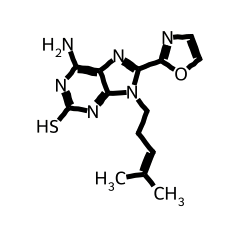 CC(C)=CCCn1c(-c2ncco2)nc2c(N)nc(S)nc21